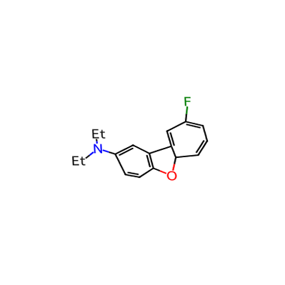 CCN(CC)c1ccc2c(c1)C1=CC(F)=CC=CC1O2